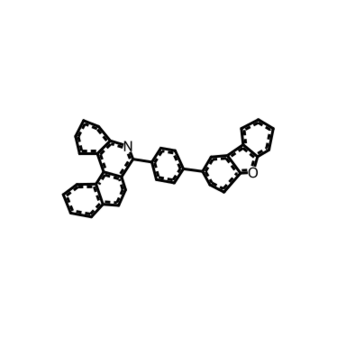 c1ccc2c(c1)ccc1c(-c3ccc(-c4ccc5oc6ccccc6c5c4)cc3)nc3ccccc3c12